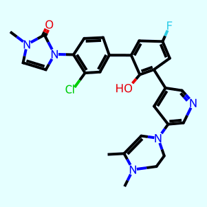 CC1=CN(c2cncc(-c3cc(F)cc(-c4ccc(-n5ccn(C)c5=O)c(Cl)c4)c3O)c2)CCN1C